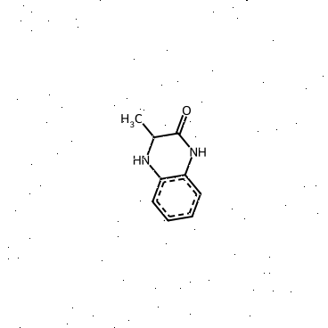 CC1Nc2c[c]ccc2NC1=O